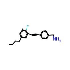 CCCCc1c[c]c(F)c(C#Cc2ccc(CN)cc2)c1